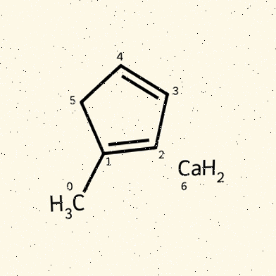 CC1=CC=CC1.[CaH2]